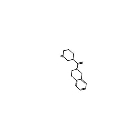 C=C(C1CCCNC1)N1CCc2ccccc2C1